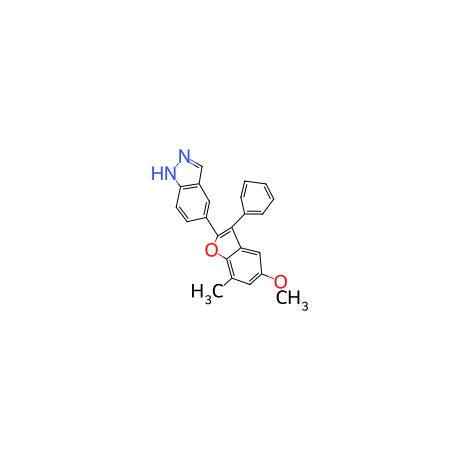 COc1cc(C)c2oc(-c3ccc4[nH]ncc4c3)c(-c3ccccc3)c2c1